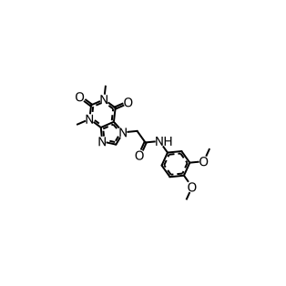 COc1ccc(NC(=O)Cn2cnc3c2c(=O)n(C)c(=O)n3C)cc1OC